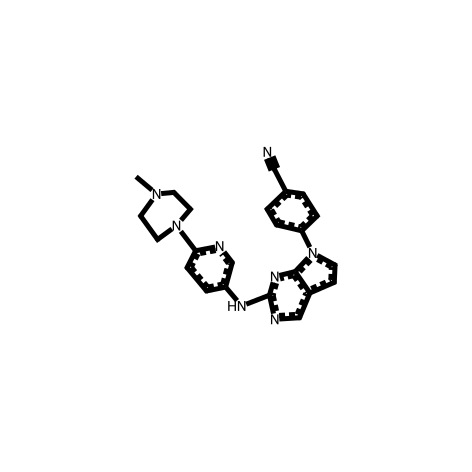 CN1CCN(c2ccc(Nc3ncc4ccn(-c5ccc(C#N)cc5)c4n3)cn2)CC1